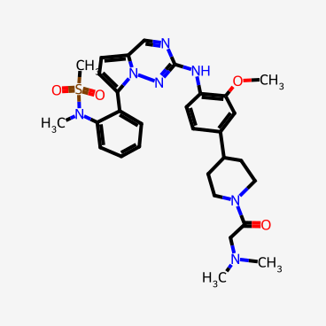 COc1cc(C2CCN(C(=O)CN(C)C)CC2)ccc1Nc1ncc2ccc(-c3ccccc3N(C)S(C)(=O)=O)n2n1